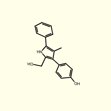 Cc1c(-c2ccccc2)[nH]c(CO)c1-c1ccc(O)cc1